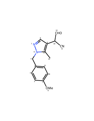 COc1ccc(Cn2ncc(C(C#N)C=O)c2C)cc1